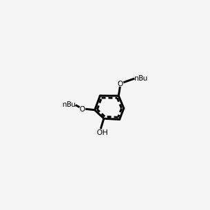 CCCCOc1ccc(O)c(OCCCC)c1